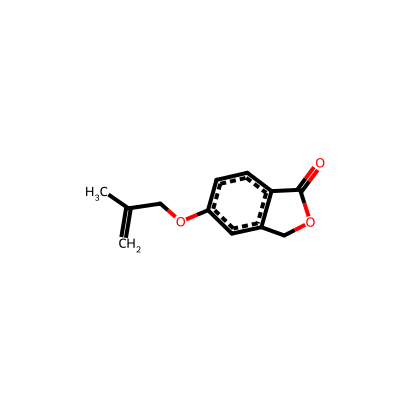 C=C(C)COc1ccc2c(c1)COC2=O